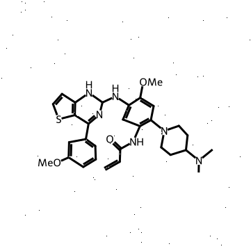 C=CC(=O)Nc1cc(NC2N=C(c3cccc(OC)c3)c3sccc3N2)c(OC)cc1N1CCC(N(C)C)CC1